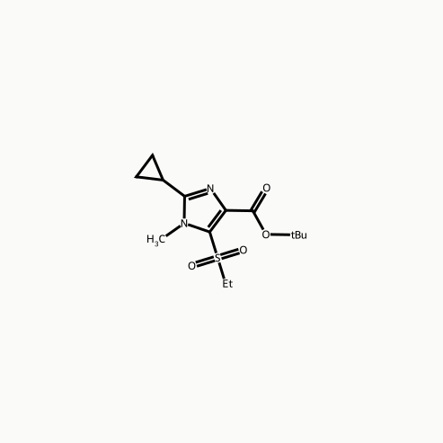 CCS(=O)(=O)c1c(C(=O)OC(C)(C)C)nc(C2CC2)n1C